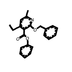 CCc1cc(C)nc(OCc2ccccc2)c1C(=O)Oc1ccccc1